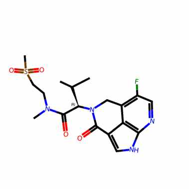 CC(C)[C@H](C(=O)N(C)CCS(C)(=O)=O)N1Cc2c(F)cnc3[nH]cc(c23)C1=O